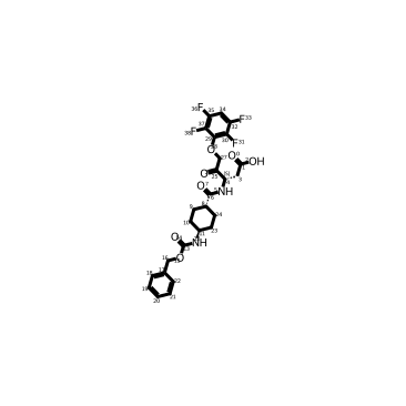 O=C(O)C[C@H](NC(=O)[C@H]1CC[C@H](NC(=O)OCc2ccccc2)CC1)C(=O)COc1c(F)c(F)cc(F)c1F